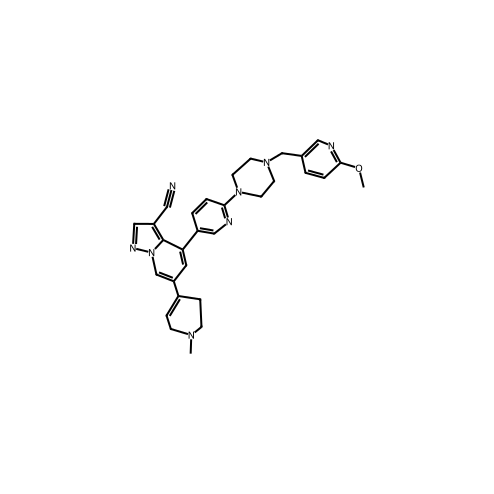 COc1ccc(CN2CCN(c3ccc(-c4cc(C5=CCN(C)CC5)cn5ncc(C#N)c45)cn3)CC2)cn1